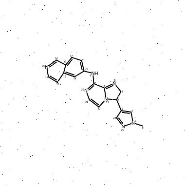 Cn1cc(C2CN=C3C(Nc4ccc5cnccc5c4)=NC=CN32)cn1